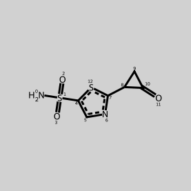 NS(=O)(=O)c1cnc(C2CC2=O)s1